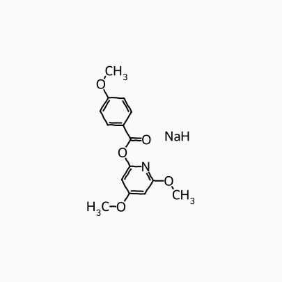 COc1ccc(C(=O)Oc2cc(OC)cc(OC)n2)cc1.[NaH]